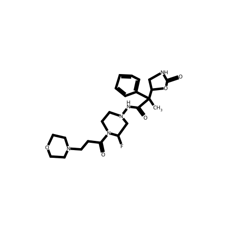 CC(C(=O)NN1CCN(C(=O)CCN2CCOCC2)C(F)C1)(c1ccccc1)C1CNC(=O)O1